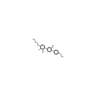 CCCCCc1ccc(-c2ccc(-c3ccc(CCC)cc3)c(F)c2)c(F)c1C